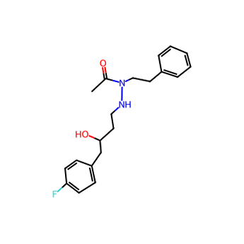 CC(=O)N(CCc1ccccc1)NCCC(O)Cc1ccc(F)cc1